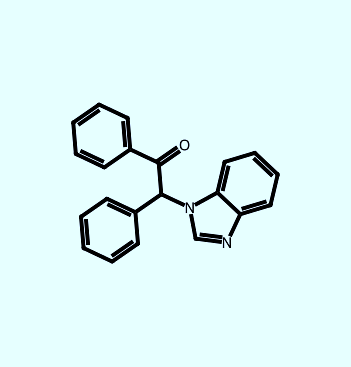 O=C(c1ccccc1)C(c1ccccc1)n1cnc2ccccc21